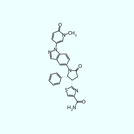 Cn1cc(-n2ncc3cc(N4C(=O)C[C@H](c5nc(C(N)=O)cs5)[C@@H]4c4ccccc4)ccc32)ccc1=O